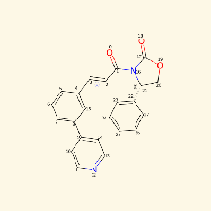 O=C(/C=C/c1cccc(-c2ccncc2)c1)N1C(=O)OC[C@@H]1c1ccccc1